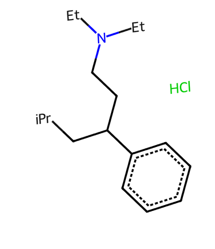 CCN(CC)CCC(CC(C)C)c1ccccc1.Cl